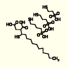 CCCCCCCCCCCC(S)C(CC(=O)O)C(=O)O.O=S(=O)(O)CCCCS.O=S(=O)(O)CCCS.O=S(=O)(O)CCS